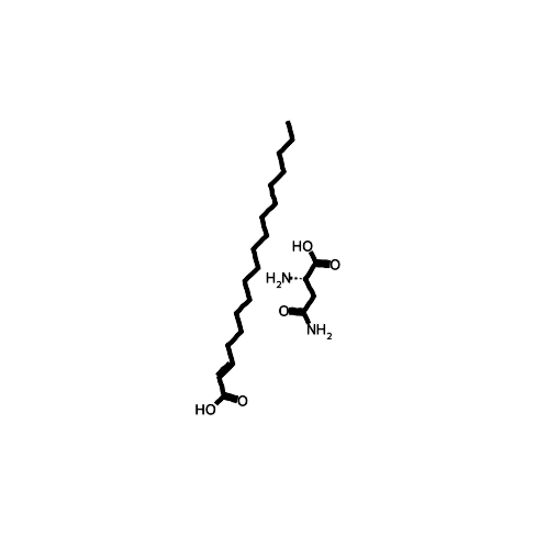 CCCCCCCCCCCCCCCC=CC(=O)O.NC(=O)C[C@H](N)C(=O)O